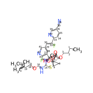 CCCCOC(=O)C12CC1(C(=O)O)SC(NCOCC[Si](C)(C)C)=NC2(C)c1cc(C=C(F)c2ccc(C#N)cn2)cnc1F